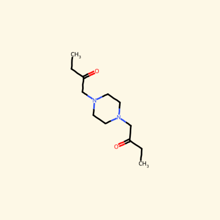 CCC(=O)CN1CCN(CC(=O)CC)CC1